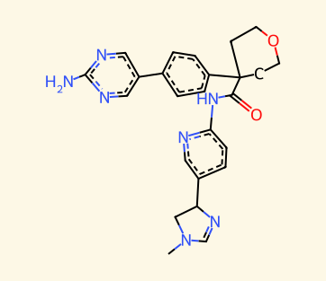 CN1C=NC(c2ccc(NC(=O)C3(c4ccc(-c5cnc(N)nc5)cc4)CCOCC3)nc2)C1